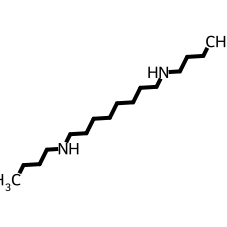 CCCCNCCCCCCCCNCCCC